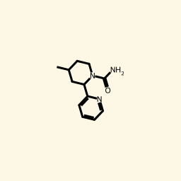 CC1CCN(C(N)=O)C(c2ccccn2)C1